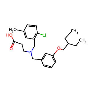 CCC(CC)COc1cccc(CN(CCC(=O)O)Cc2cc(C)ccc2Cl)c1